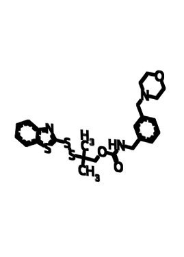 CC(C)(COC(=O)NCc1cccc(CN2CCOCC2)c1)SSc1nc2ccccc2s1